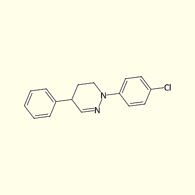 Clc1ccc(N2CCC(c3ccccc3)C=N2)cc1